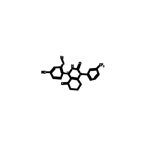 CCSc1cc(C#N)ccc1[C@H]1NC(=O)N(c2cccc(C(F)(F)F)c2)C2=C1C(=O)CCC2